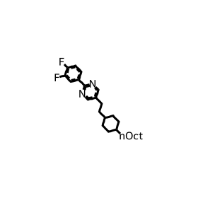 CCCCCCCCC1CCC(CCc2cnc(-c3ccc(F)c(F)c3)nc2)CC1